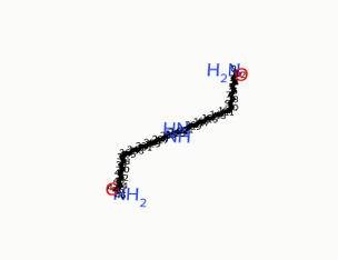 NC(=O)CCCCCCC/C=C\CCCCCCCCCCNCCNCCCCCCCCCC/C=C\CCCCCCCC(N)=O